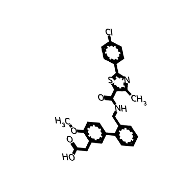 COc1ccc(-c2ccccc2CNC(=O)c2sc(-c3ccc(Cl)cc3)nc2C)cc1CC(=O)O